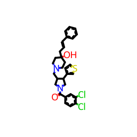 O=C(c1ccc(Cl)c(Cl)c1)N1CC(CN2CCC(O)(CC=Cc3ccccc3)CC2)C(c2ccsc2)C1